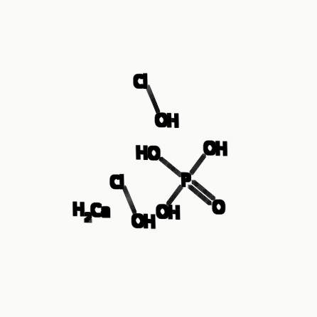 O=P(O)(O)O.OCl.OCl.[CaH2]